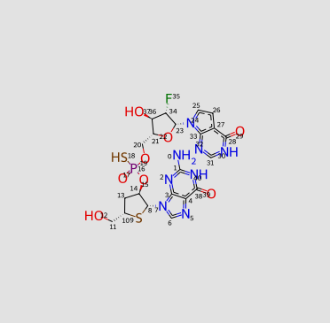 Nc1nc2c(ncn2[C@@H]2S[C@H](CO)C[C@H]2OP(=O)(S)OC[C@H]2O[C@@H](n3ccc4c(=O)[nH]cnc43)[C@@H](F)[C@@H]2O)c(=O)[nH]1